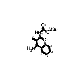 C=C(C(=O)NC(=O)OC(C)(C)C)C(N)c1ccccc1